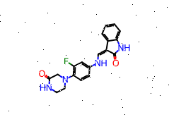 O=C1CN(c2ccc(NC=C3C(=O)Nc4ccccc43)cc2F)CCN1